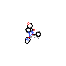 Cc1nc2ccccc2n1C1CC2CCC(C1)N2CC[C@H](NC(=O)C1CCOCC1)c1ccccc1